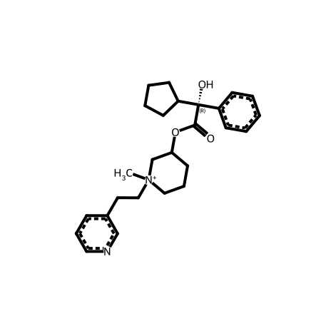 C[N+]1(CCc2cccnc2)CCCC(OC(=O)[C@](O)(c2ccccc2)C2CCCC2)C1